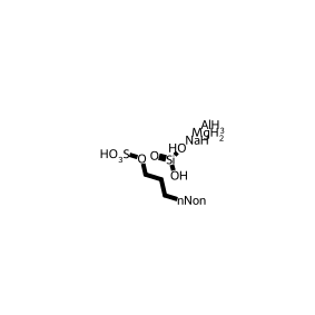 CCCCCCCCCCCCOS(=O)(=O)O.O=[Si](O)O.[AlH3].[MgH2].[NaH]